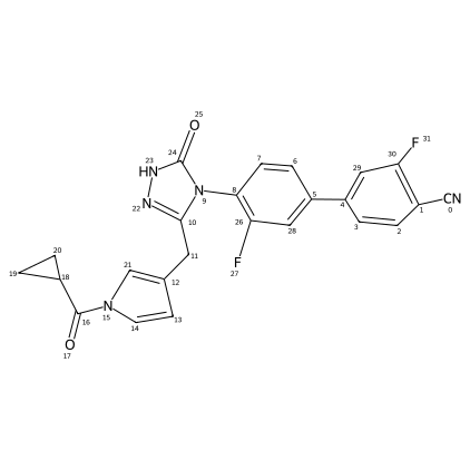 N#Cc1ccc(-c2ccc(-n3c(Cc4ccn(C(=O)C5CC5)c4)n[nH]c3=O)c(F)c2)cc1F